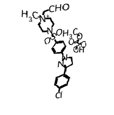 COS(=O)(=O)O.C[N+]1(CC=O)CCN(S(=O)(=O)c2ccc(N3CCC(c4ccc(Cl)cc4)=N3)cc2)CC1